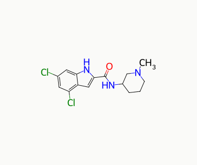 CN1CCCC(NC(=O)c2cc3c(Cl)cc(Cl)cc3[nH]2)C1